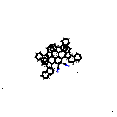 N#Cc1c(C#N)c(C2c3ccccc3-c3c2ccc2ccccc32)c(C2c3ccccc3-c3c2ccc2ccccc32)c(C2c3ccccc3-c3c2ccc2ccccc32)c1C1c2ccccc2-c2c1ccc1ccccc21